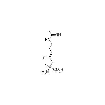 CC(=N)NCCC=C(F)CC(C)(N)C(=O)O